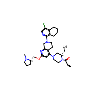 C=CC(=O)N1CCN(c2cc(OC[C@@H]3CCCN3C)nc3c2CCN(c2ncc(F)c4c2CCCC4)C3)C[C@@H]1CC#N